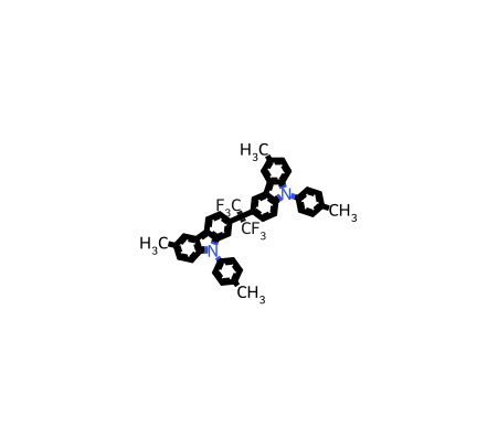 Cc1ccc(-n2c3ccc(C)cc3c3cc(C(c4ccc5c6cc(C)ccc6n(-c6ccc(C)cc6)c5c4)(C(F)(F)F)C(F)(F)F)ccc32)cc1